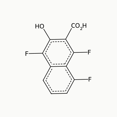 O=C(O)c1c(O)c(F)c2cccc(F)c2c1F